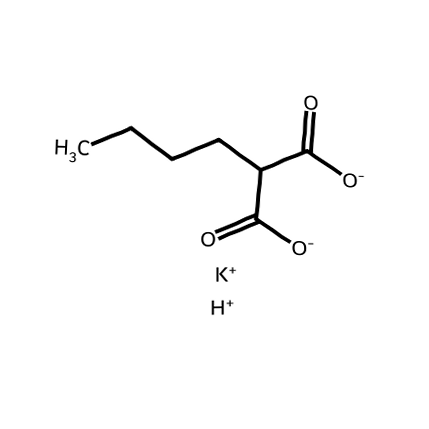 CCCCC(C(=O)[O-])C(=O)[O-].[H+].[K+]